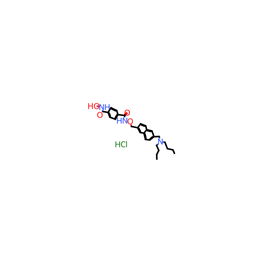 CCCCN(CCCC)Cc1ccc2cc(CONC(=O)c3ccc(C(=O)NO)cc3)ccc2c1.Cl